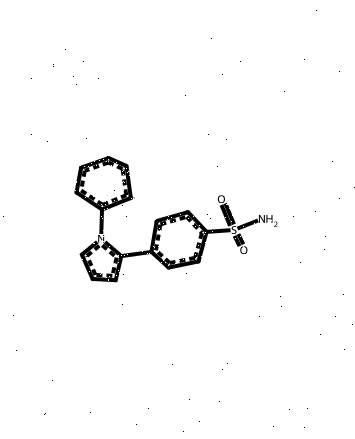 NS(=O)(=O)c1ccc(-c2cccn2-c2[c]cccc2)cc1